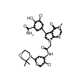 Cn1cnc2c(c(-c3cc(Cl)c(O)c(C(N)=O)c3)cn2CC(=O)Nc2cc(N3CCOCC3(C)C)ncc2Cl)c1=O